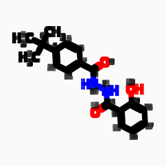 CC(C)(C)c1ccc(C(=O)NNC(=O)c2ccccc2O)cc1